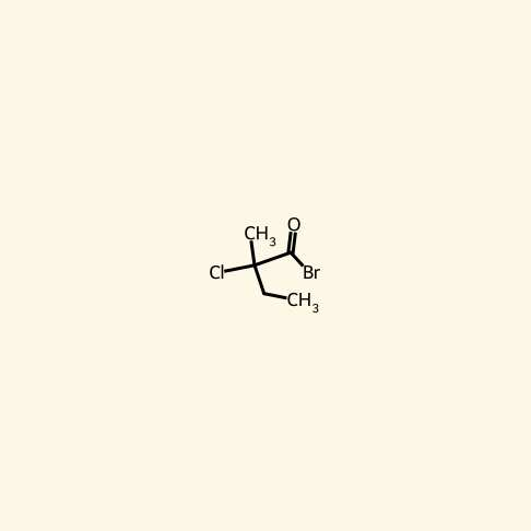 CCC(C)(Cl)C(=O)Br